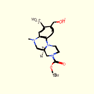 CN1C[C@@H]2CN(C(=O)OC(C)(C)C)CCN2c2cc(CO)c(C(=O)O)cc21